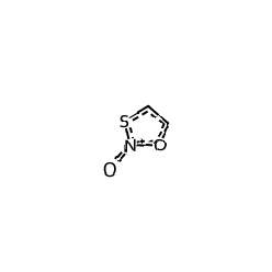 O=[n+]1occs1